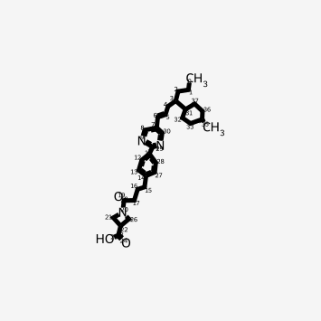 CCCC(C/C=C/c1cnc(-c2ccc(CCCC(=O)N3CC(C(=O)O)C3)cc2)nc1)C1CCC(C)CC1